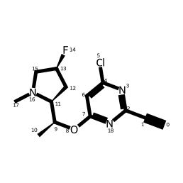 C#Cc1nc(Cl)cc(O[C@@H](C)[C@@H]2C[C@H](F)CN2C)n1